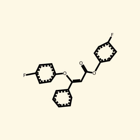 O=C(/C=C(\Oc1ccc(F)cc1)c1ccccc1)Oc1ccc(F)cc1